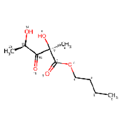 CCCCOC(=O)[C@](C)(O)C(=O)[C@@H](C)O